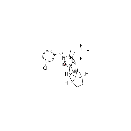 Cc1noc(N2C[C@H]3CC[C@@H](C2)[C@@H]3Nc2nc(Oc3cccc(Cl)c3)n(CC(F)(F)F)n2)n1